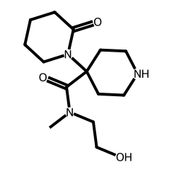 CN(CCO)C(=O)C1(N2CCCCC2=O)CCNCC1